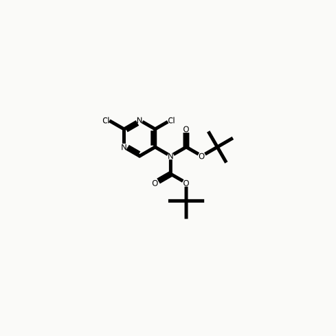 CC(C)(C)OC(=O)N(C(=O)OC(C)(C)C)c1cnc(Cl)nc1Cl